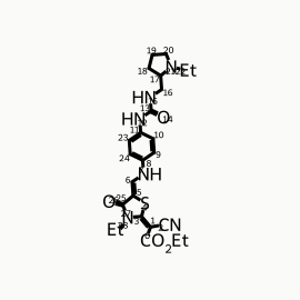 CCOC(=O)C(C#N)=c1sc(=CNc2ccc(NC(=O)NCC3CCCN3CC)cc2)c(=O)n1CC